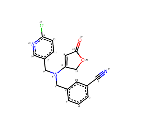 N#Cc1cccc(CN(Cc2ccc(Cl)nc2)C2=CC(=O)OC2)c1